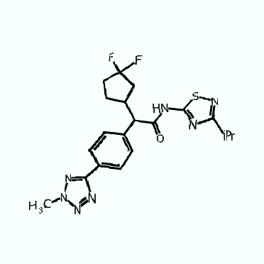 CC(C)c1nsc(NC(=O)C(c2ccc(-c3nnn(C)n3)cc2)C2CCC(F)(F)C2)n1